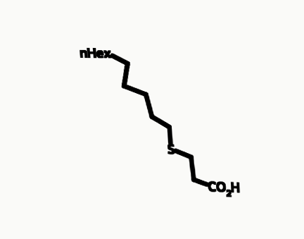 CCCCCCCCCCCSCCC(=O)O